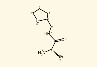 CC(C)[C@@H](N)C(=O)NCC1CCCO1